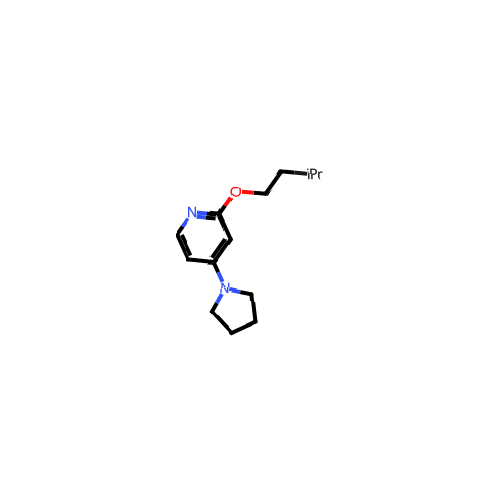 CC(C)CCOc1cc(N2CCCC2)ccn1